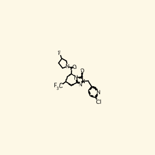 O=C(C1CC(C(F)(F)F)Cc2nn(Cc3ccc(Cl)nc3)c(=O)n21)N1CCC(F)C1